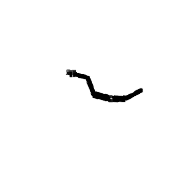 [2H]CC=C=CC